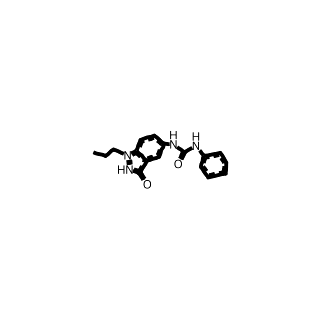 CCCn1[nH]c(=O)c2cc(NC(=O)Nc3ccccc3)ccc21